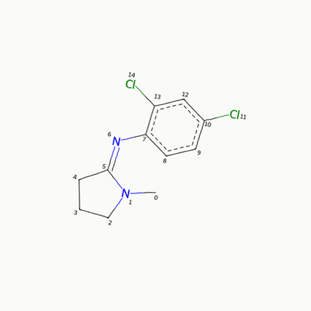 CN1CCCC1=Nc1ccc(Cl)cc1Cl